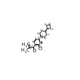 CN(C)C(=O)c1ccc(N2CCC(C3CCC3)CC2)nc1Cl